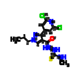 CCCn1cc(C(=O)NNC(=S)NC)c(-c2cc(Cl)nc(Cl)c2)n1